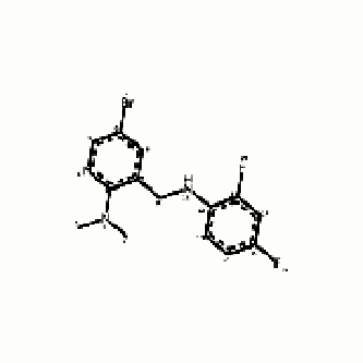 CN(C)c1ncc(Br)cc1CNc1ccc(F)cc1F